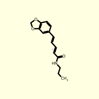 CCCNC(=O)/C=C/C=Cc1ccc2c(c1)OCO2